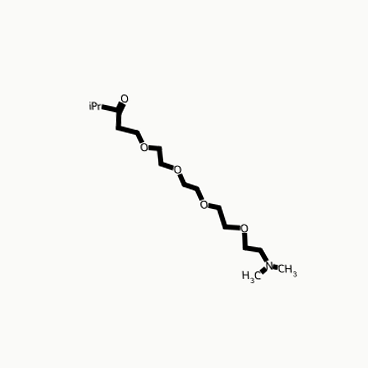 CC(C)C(=O)CCOCCOCCOCCOCCN(C)C